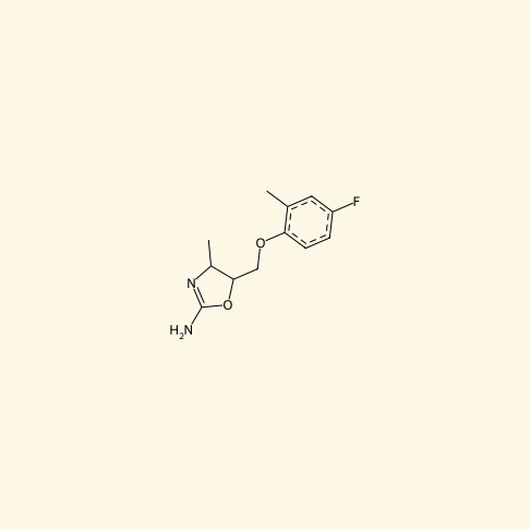 Cc1cc(F)ccc1OCC1OC(N)=NC1C